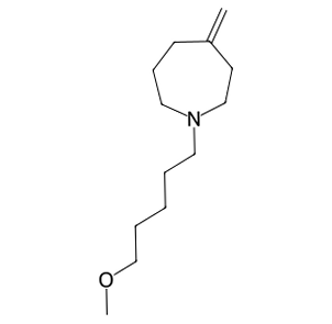 C=C1CCCN(CCCCCOC)CC1